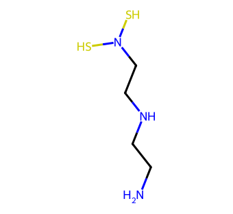 NCCNCCN(S)S